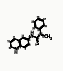 CN(C(=S)Nc1ccc2c(c1)C=CCN2)c1ccccc1